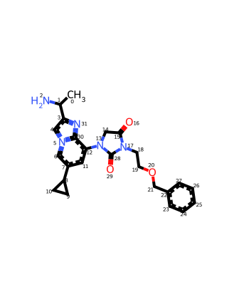 CC(N)c1cn2cc(C3CC3)cc(N3CC(=O)N(CCOCc4ccccc4)C3=O)c2n1